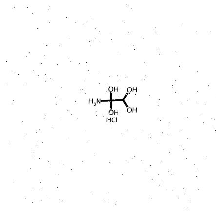 Cl.NC(O)(O)C(O)O